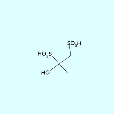 CC(O)(CS(=O)(=O)O)S(=O)(=O)O